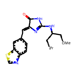 COCC(CC(C)C)NC1=N/C(=C\c2ccc3ncsc3c2)C(=O)N1